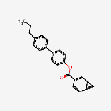 CCCc1ccc(-c2ccc(OC(=O)C3=CC4C=C4C=C3)cc2)cc1